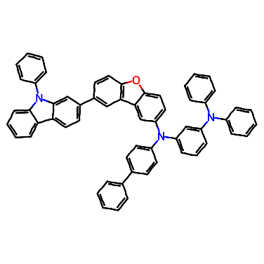 c1ccc(-c2ccc(N(c3cccc(N(c4ccccc4)c4ccccc4)c3)c3ccc4oc5ccc(-c6ccc7c8ccccc8n(-c8ccccc8)c7c6)cc5c4c3)cc2)cc1